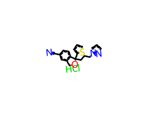 Cl.N#Cc1ccc2c(c1)COC2(CCCn1cccn1)c1cccs1